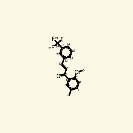 COc1ccc(C)cc1C(=O)/C=C/c1cccc(C(F)(F)F)c1